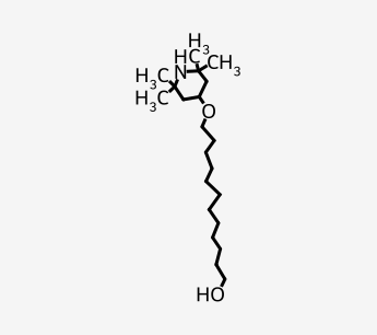 CC1(C)CC(OCCCCCCCCCCCCO)CC(C)(C)N1